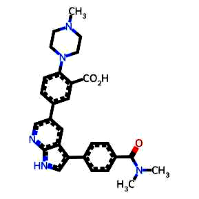 CN1CCN(c2ccc(-c3cnc4[nH]cc(-c5ccc(C(=O)N(C)C)cc5)c4c3)cc2C(=O)O)CC1